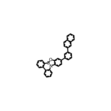 c1cc(-c2ccc3c(c2)OB2c4ccccc4-c4ccccc4N23)cc(-c2ccc3ccccc3c2)c1